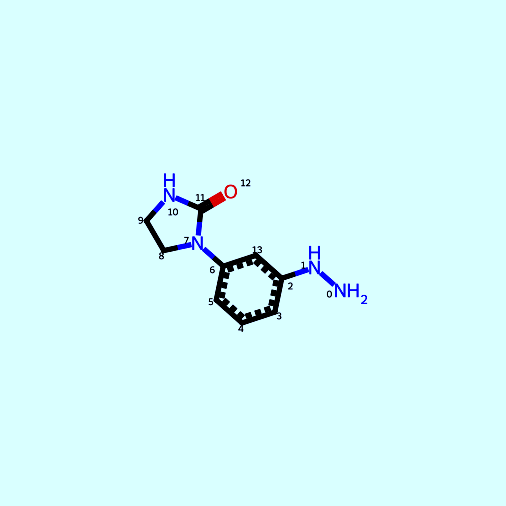 NNc1cccc(N2CCNC2=O)c1